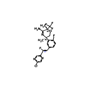 C[C@@]1(c2cc(/C=C(\F)c3cnc(Cl)cn3)ccc2F)CO[C@@](C)(C(F)(F)F)C(N)=N1